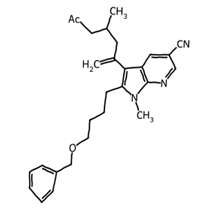 C=C(CC(C)CC(C)=O)c1c(CCCCOCc2ccccc2)n(C)c2ncc(C#N)cc12